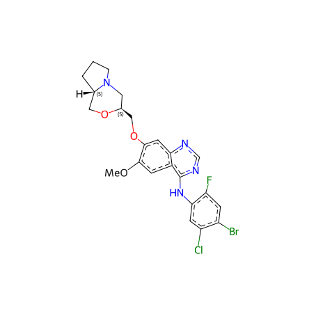 COc1cc2c(Nc3cc(Cl)c(Br)cc3F)ncnc2cc1OC[C@@H]1CN2CCC[C@H]2CO1